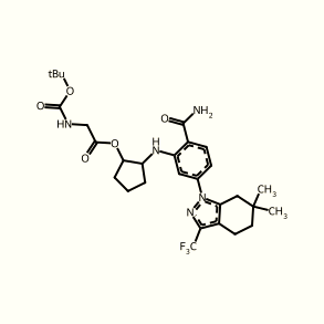 CC1(C)CCc2c(C(F)(F)F)nn(-c3ccc(C(N)=O)c(NC4CCCC4OC(=O)CNC(=O)OC(C)(C)C)c3)c2C1